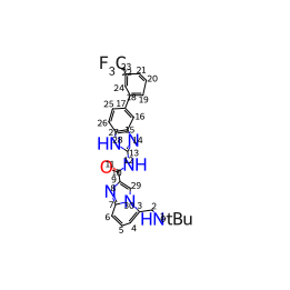 CC(C)(C)NCc1cccc2nc(C(=O)Nc3nc4cc(-c5cccc(C(F)(F)F)c5)ccc4[nH]3)cn12